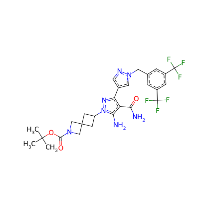 CC(C)(C)OC(=O)N1CC2(CC(n3nc(-c4cnn(Cc5cc(C(F)(F)F)cc(C(F)(F)F)c5)c4)c(C(N)=O)c3N)C2)C1